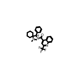 CN(C)C1(C(NC(=O)c2cc(C(F)(F)F)nc3ccccc23)c2ccccc2)CCCCC1